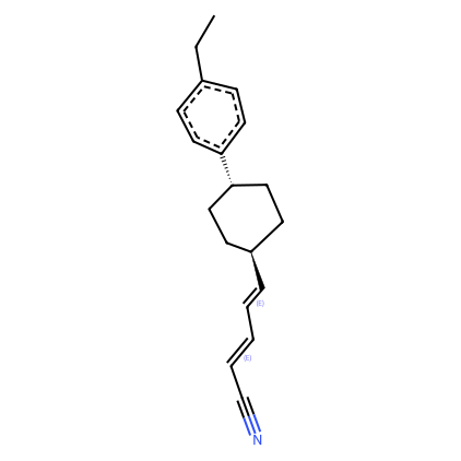 CCc1ccc([C@H]2CC[C@H](/C=C/C=C/C#N)CC2)cc1